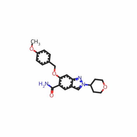 COc1ccc(COc2cc3nn(C4CCOCC4)cc3cc2C(N)=O)cc1